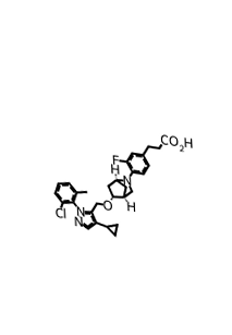 Cc1cccc(Cl)c1-n1ncc(C2CC2)c1CO[C@@H]1C[C@@H]2C[C@H]1CN2c1ccc(CCC(=O)O)cc1F